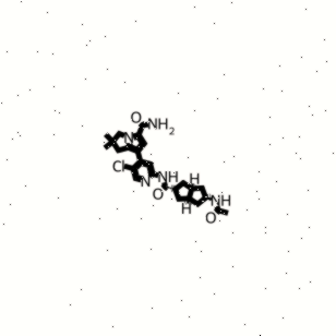 CC(=O)N[C@@H]1C[C@@H]2C[C@@H](C(=O)Nc3cc(-c4cc(C(N)=O)n5c4CC(C)(C)C5)c(Cl)cn3)C[C@@H]2C1